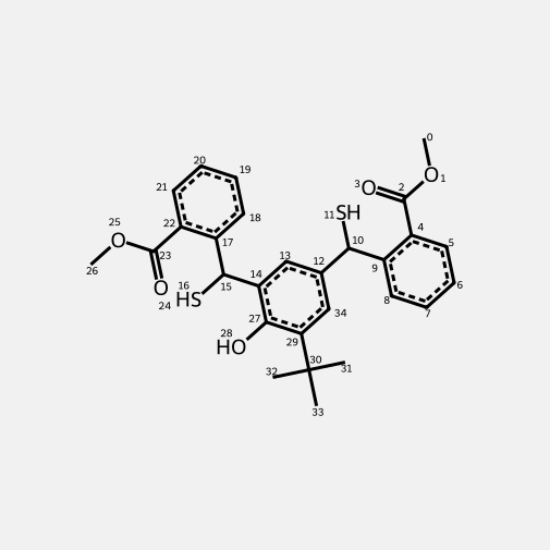 COC(=O)c1ccccc1C(S)c1cc(C(S)c2ccccc2C(=O)OC)c(O)c(C(C)(C)C)c1